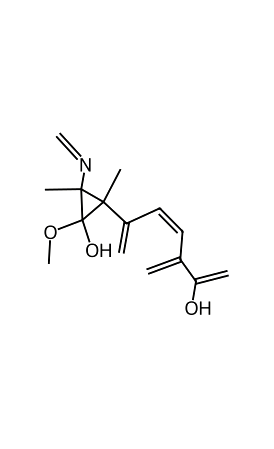 C=NC1(C)C(O)(OC)C1(C)C(=C)/C=C\C(=C)C(=C)O